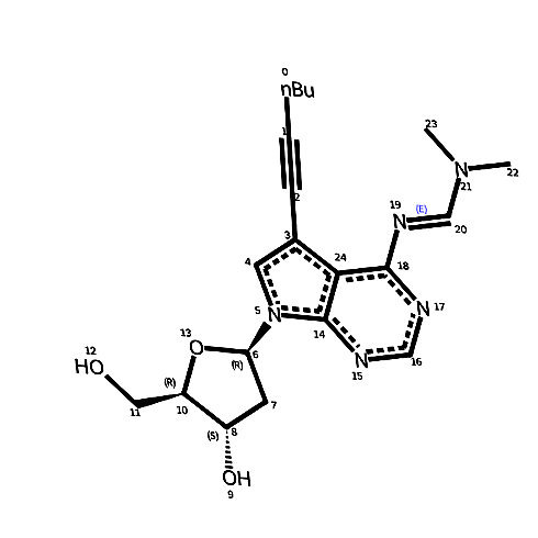 CCCCC#Cc1cn([C@H]2C[C@H](O)[C@@H](CO)O2)c2ncnc(/N=C/N(C)C)c12